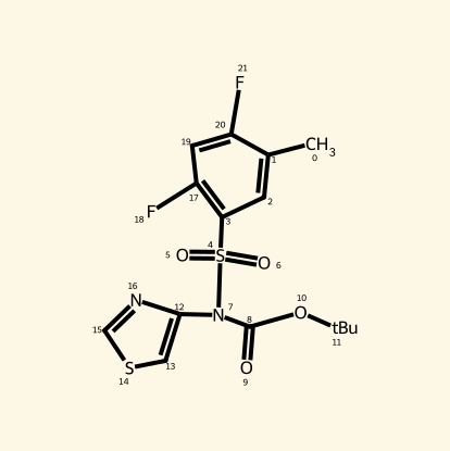 Cc1cc(S(=O)(=O)N(C(=O)OC(C)(C)C)c2cscn2)c(F)cc1F